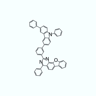 c1ccc(-c2ccc3c(c2)c2cc(-c4cccc(-c5nc(-c6ccccc6)c6ccc7c8ccccc8oc7c6n5)c4)ccc2n3-c2ccccc2)cc1